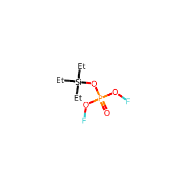 CC[Si](CC)(CC)OP(=O)(OF)OF